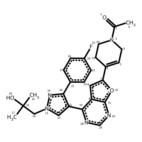 CC(=O)N1CC=C(c2cc3c(-c4cn(CC(C)(C)O)nc4-c4ccc(F)cc4)ncnc3o2)CC1